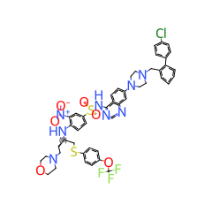 O=[N+]([O-])c1cc(S(=O)(=O)Nc2ncnc3cc(N4CCN(Cc5ccccc5-c5ccc(Cl)cc5)CC4)ccc23)ccc1N[C@H](CCN1CCOCC1)CSc1ccc(OC(F)(F)F)cc1